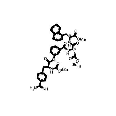 COC(=O)[C@H](Cc1cccc2ccccc12)NC(=O)[C@H](CC(=O)OC(C)(C)C)NC(=O)c1cccc(NC(=O)C(Cc2ccc(C(=N)N)cc2)NC(=O)OC(C)(C)C)c1.I